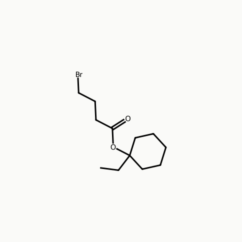 CCC1(OC(=O)CCCBr)CCCCC1